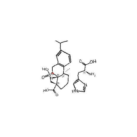 CC(C)c1ccc2c(c1)CC[C@H]1[C@@](CS(=O)(=O)O)(C(=O)O)CCC[C@]21C.N[C@@H](Cc1c[nH]cn1)C(=O)O